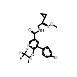 CON=C(CNC(=O)c1cnc(O[C@@H](C)C(F)(F)F)c(-c2ccc(Cl)cc2)c1)C1CC1